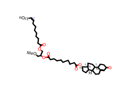 CCCCCCCC/C=C\CCCCCCCC(=O)OCC(COC)OC(=O)CCCCCCCCC(=O)O[C@H]1CCC2[C@@H]3CCC4=CC(=O)CC[C@]4(C)C3CC[C@@]21C